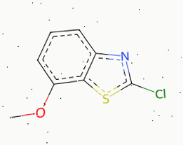 COc1cccc2nc(Cl)sc12